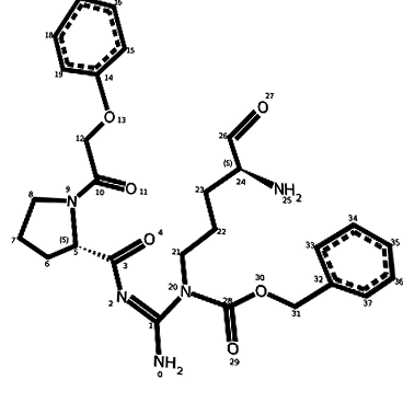 NC(=NC(=O)[C@@H]1CCCN1C(=O)COc1ccccc1)N(CCC[C@H](N)C=O)C(=O)OCc1ccccc1